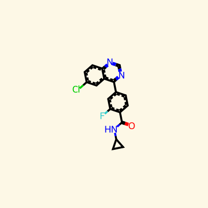 O=C(NC1CC1)c1ccc(-c2ncnc3ccc(Cl)cc23)cc1F